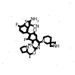 C[C@H](Oc1nc(N2CCCC3(CNC3)C2)c2cc(Cl)c(-c3ccc(F)c4sc(N)c(C#N)c34)c(F)c2n1)C1CCCN1C